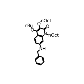 CCCCCCCCOc1c(OCCCC)c2ccc(NCc3ccccc3)cc2n(CCCCCCCC)c1=O